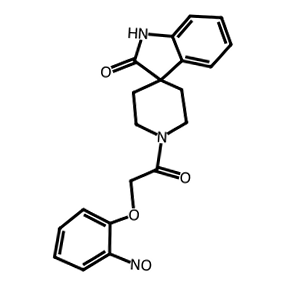 O=Nc1ccccc1OCC(=O)N1CCC2(CC1)C(=O)Nc1ccccc12